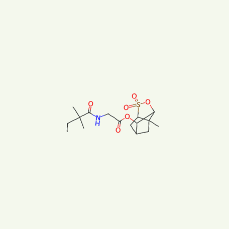 CCC(C)(C)C(=O)NCC(=O)OC1C2CC3C(C)(C2)C1OS3(=O)=O